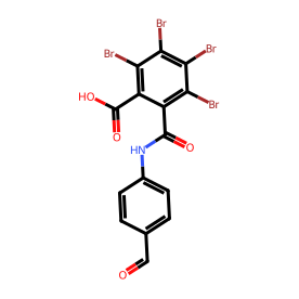 O=Cc1ccc(NC(=O)c2c(Br)c(Br)c(Br)c(Br)c2C(=O)O)cc1